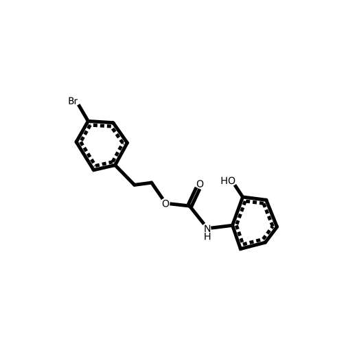 O=C(Nc1ccccc1O)OCCc1ccc(Br)cc1